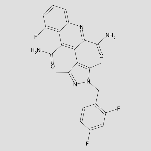 Cc1nn(Cc2ccc(F)cc2F)c(C)c1-c1c(C(N)=O)nc2cccc(F)c2c1C(N)=O